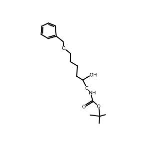 CC(C)(C)OC(=O)NCC(O)CCCCOCc1ccccc1